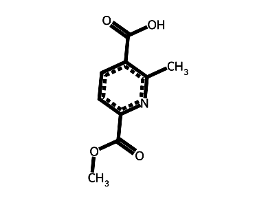 COC(=O)c1ccc(C(=O)O)c(C)n1